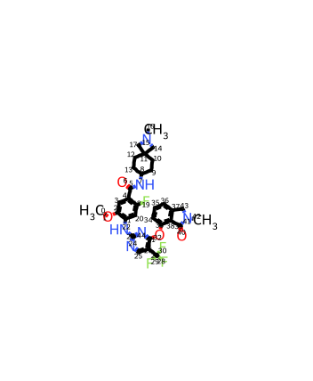 COc1cc(C(=O)NC2CCC3(CC2)CN(C)C3)c(F)cc1Nc1ncc(C(F)(F)F)c(Oc2cccc3c2C(=O)N(C)C3)n1